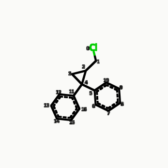 ClCC1CC1(c1ccccc1)c1ccccc1